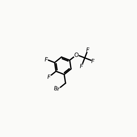 Fc1cc(OC(F)(F)F)cc(CBr)c1F